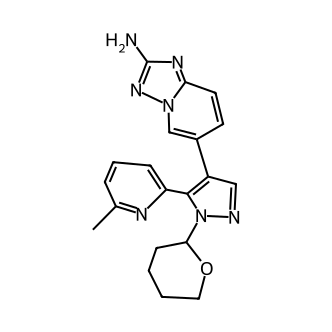 Cc1cccc(-c2c(-c3ccc4nc(N)nn4c3)cnn2C2CCCCO2)n1